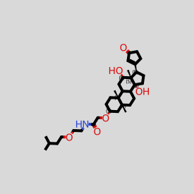 CC(C)CCOCCNC(=O)CO[C@H]1CC[C@]2(C)C3C[C@@H](O)[C@]4(C)[C@@H](C5=CC(=O)CC5)CC[C@]4(O)C3CC[C@]2(C)C1